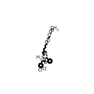 COOCOCCOOCCCCC1=CCN(C[C@H](c2ccccc2)N(C)C(=O)Cc2ccc(Cl)c(Cl)c2)C1